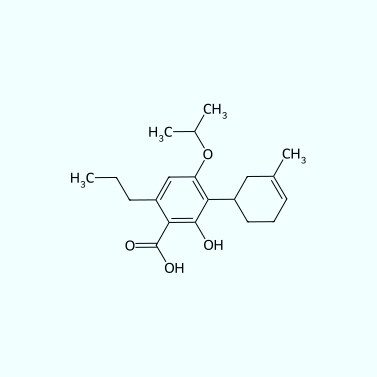 CCCc1cc(OC(C)C)c(C2CCC=C(C)C2)c(O)c1C(=O)O